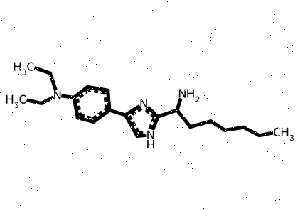 CCCCCCC(N)c1nc(-c2ccc(N(CC)CC)cc2)c[nH]1